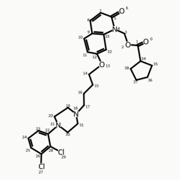 O=C(OCn1c(=O)ccc2ccc(OCCCCN3CCN(c4cccc(Cl)c4Cl)CC3)cc21)C1CCCC1